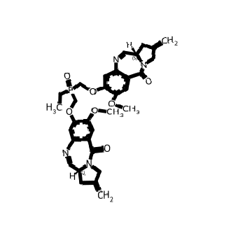 C=C1C[C@H]2C=Nc3cc(OCP(=O)(CC)COc4cc5c(cc4OC)C(=O)N4CC(=C)C[C@H]4C=N5)c(OC)cc3C(=O)N2C1